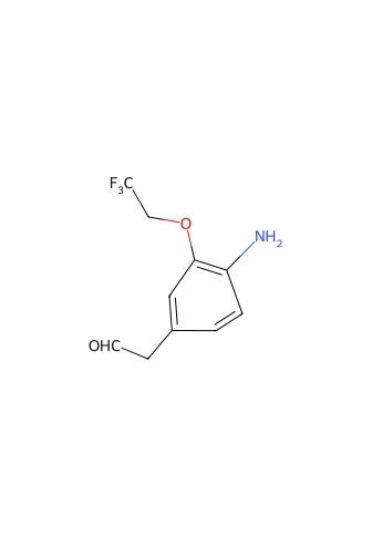 Nc1ccc(CC=O)cc1OCC(F)(F)F